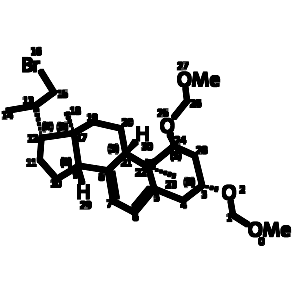 COCO[C@@H]1CC2=CC=C3[C@@H]4CC[C@H](C(C)CBr)[C@@]4(C)CC[C@@H]3[C@@]2(C)[C@@H](OCOC)C1